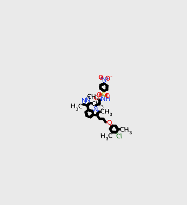 Cc1cc(OCCCc2c(C)n(CCC(=O)NS(=O)(=O)c3ccc([N+](=O)[O-])cc3)c3c(-c4c(C)nn(C)c4C)cccc23)cc(C)c1Cl